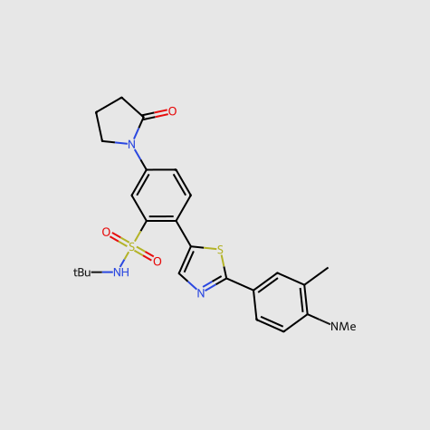 CNc1ccc(-c2ncc(-c3ccc(N4CCCC4=O)cc3S(=O)(=O)NC(C)(C)C)s2)cc1C